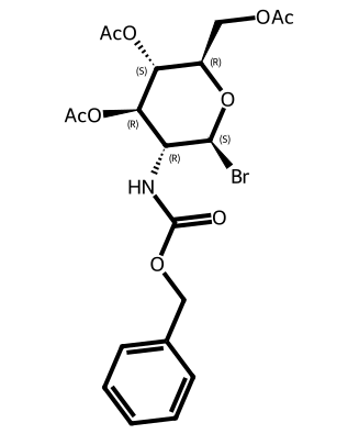 CC(=O)OC[C@H]1O[C@@H](Br)[C@H](NC(=O)OCc2ccccc2)[C@@H](OC(C)=O)[C@@H]1OC(C)=O